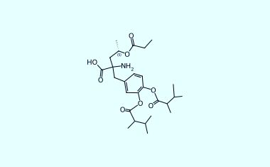 CCC(=O)O[C@@H](C)CC(N)(Cc1ccc(OC(=O)C(C)C(C)C)c(OC(=O)C(C)C(C)C)c1)C(=O)O